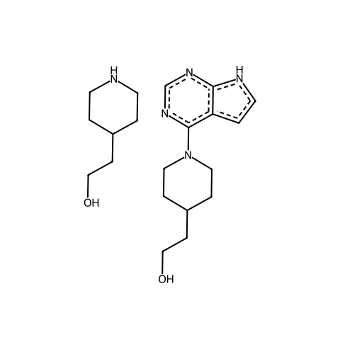 OCCC1CCN(c2ncnc3[nH]ccc23)CC1.OCCC1CCNCC1